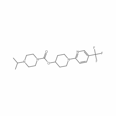 CC(C)N1CCN(C(=O)OC2CCN(c3ccc(C(F)(F)F)cn3)CC2)CC1